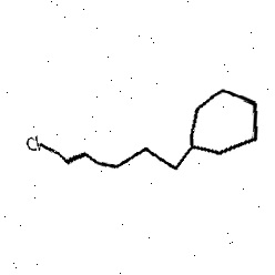 ClCCCCCC1CCCCC1